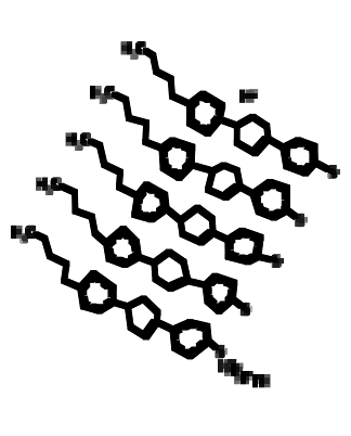 CCCCCc1ccc(C2CC=C(c3ccc([S])cc3)CC2)cc1.CCCCCc1ccc(C2CC=C(c3ccc([S])cc3)CC2)cc1.CCCCCc1ccc(C2CC=C(c3ccc([S])cc3)CC2)cc1.CCCCCc1ccc(C2CC=C(c3ccc([S])cc3)CC2)cc1.CCCCCc1ccc(C2CC=C(c3ccc([S])cc3)CC2)cc1.F.F.F.F.F